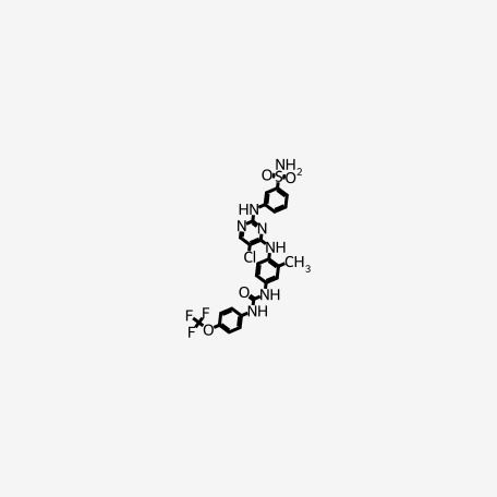 Cc1cc(NC(=O)Nc2ccc(OC(F)(F)F)cc2)ccc1Nc1nc(Nc2cccc(S(N)(=O)=O)c2)ncc1Cl